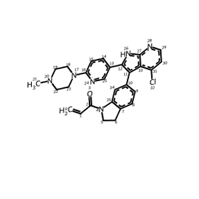 C=CC(=O)N1CCc2ccc(-c3c(-c4ccc(N5CCN(C)CC5)nc4)[nH]c4nccc(Cl)c34)cc21